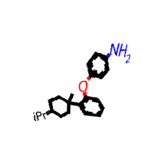 CC(C)C1CCC(C)(c2ccccc2Oc2ccc(N)cc2)CC1